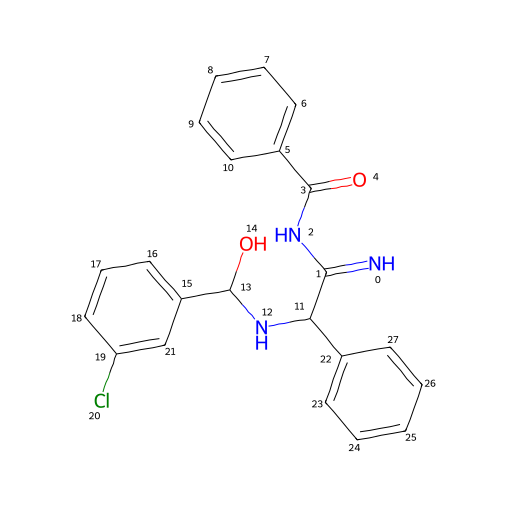 N=C(NC(=O)c1ccccc1)C(NC(O)c1cccc(Cl)c1)c1ccccc1